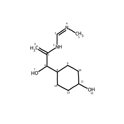 C=C(N/C=N\C)C(O)C1CCC(O)CC1